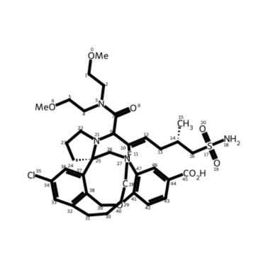 COCCN(CCOC)C(=O)C(/C(F)=C/C[C@H](C)CS(N)(=O)=O)N1CCC[C@@]12CN1CCCCc3cc(Cl)cc2c3COc2ccc(C(=O)O)cc21